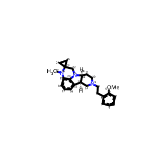 COc1ccccc1CCN1CC[C@H]2[C@@H](C1)c1cccc3c1N2CC1(CC1)N3C